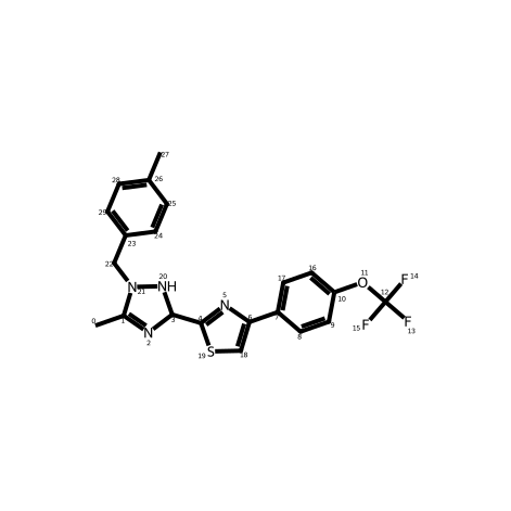 CC1=NC(c2nc(-c3ccc(OC(F)(F)F)cc3)cs2)NN1Cc1ccc(C)cc1